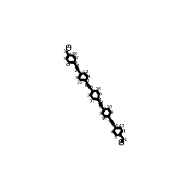 O=Cc1ccc(C#Cc2ccc(C#Cc3ccc(C#Cc4ccc(C#Cc5ccc(C=O)cc5)cc4)cc3)cc2)cc1